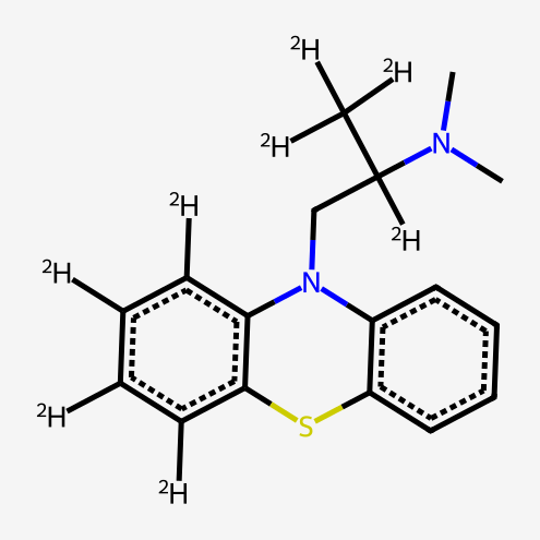 [2H]c1c([2H])c([2H])c2c(c1[2H])Sc1ccccc1N2CC([2H])(N(C)C)C([2H])([2H])[2H]